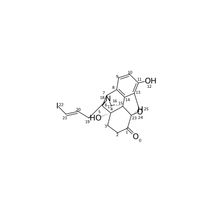 O=C1CC[C@@]2(O)C3Cc4ccc(O)c5c4[C@@]2(CCN3CC=CI)[C@H]1O5